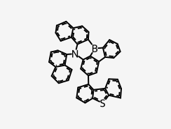 c1ccc2c(c1)B1c3ccc4ccccc4c3N(c3cccc4ccccc34)c3cc(-c4cccc5sc6ccccc6c45)cc-2c31